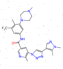 Cc1ncc(C(=O)Nc2cc(N3CCN(C)CC3)c(C)c(C(F)(F)F)c2)cc1-n1cc(-c2cnn(C)c2C)nn1